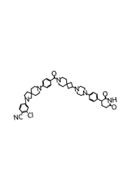 N#Cc1ccc(N2CCC3(CCN(c4ccc(C(=O)N5CCC6(CC5)CC(N5CCN(c7ccc(C8CCC(=O)NC8=O)cc7)CC5)C6)cc4)CC3)C2)cc1Cl